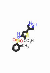 Cc1ccccc1S(=O)(=O)Nc1cc(-c2cn[nH]c2)sc1C(=O)O